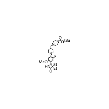 CCC1(CC)C(=O)N[C@H]1c1cc(F)c(N2CCC(CN3CCN(C(=O)OC(C)(C)C)CC3)CC2)cc1OC